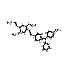 CC=Cc1cc(CO)c(C=Cc2ccc(N(c3ccccc3)c3ccc(C)cc3)cc2)cc1OC